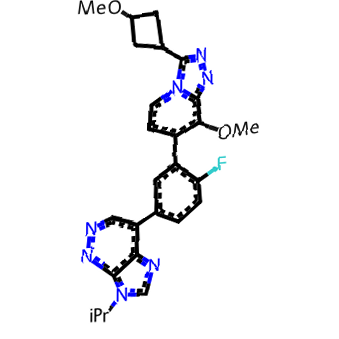 COc1c(-c2cc(-c3cnnc4c3ncn4C(C)C)ccc2F)ccn2c(C3CC(OC)C3)nnc12